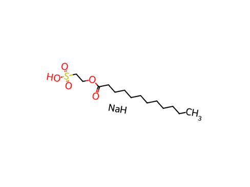 CCCCCCCCCCCC(=O)OCCS(=O)(=O)O.[NaH]